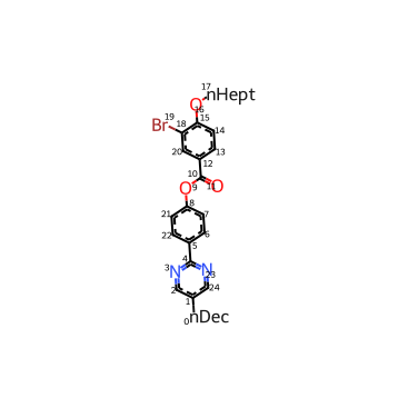 CCCCCCCCCCc1cnc(-c2ccc(OC(=O)c3ccc(OCCCCCCC)c(Br)c3)cc2)nc1